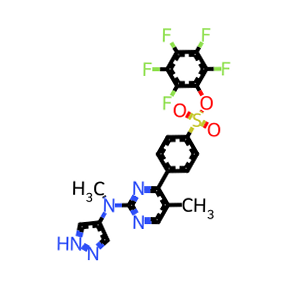 Cc1cnc(N(C)c2cn[nH]c2)nc1-c1ccc(S(=O)(=O)Oc2c(F)c(F)c(F)c(F)c2F)cc1